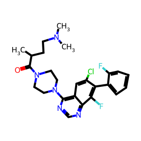 CC(CCN(C)C)C(=O)N1CCN(c2ncnc3c(F)c(-c4ccccc4F)c(Cl)cc23)CC1